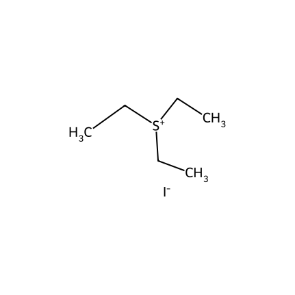 CC[S+](CC)CC.[I-]